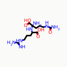 N=C(N)NCCCC(NC(N)(CCCNC(N)=O)C(=O)O)C(=O)O